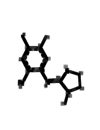 CCc1cc(C)c(C)cc1N=C1SCCN1C